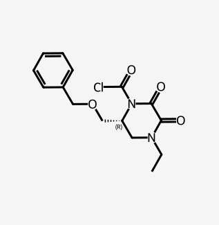 CCN1C[C@H](COCc2ccccc2)N(C(=O)Cl)C(=O)C1=O